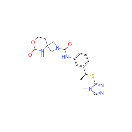 C[C@H](Sc1nncn1C)c1cccc(NC(=O)N2CC3(CCOC(=O)N3)C2)c1